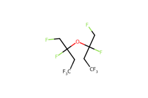 FCC(F)(CC(F)(F)F)OC(F)(CF)CC(F)(F)F